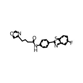 O=C(CCCc1cocn1)Nc1ccc(-c2nc3cc(F)ccc3s2)cc1